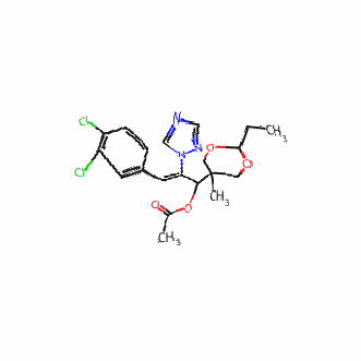 CCC1OCC(C)(C(OC(C)=O)C(=Cc2ccc(Cl)c(Cl)c2)n2cncn2)CO1